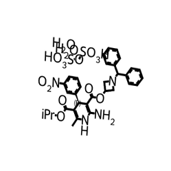 CC1=C(C(=O)OC(C)C)[C@@H](c2cccc([N+](=O)[O-])c2)C(C(=O)OC2CN(C(c3ccccc3)c3ccccc3)C2)=C(N)N1.O.O.O=S(=O)(O)OS(=O)(=O)O